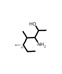 CC[C@H](C)C(C)C(N)C(C)O